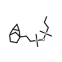 CCC[Si](C)(C)O[Si](C)(C)CCC12CCC(C1)C1CC12